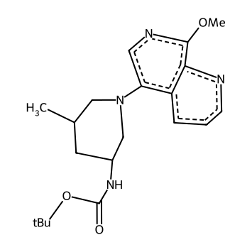 COc1ncc(N2CC(C)CC(NC(=O)OC(C)(C)C)C2)c2cccnc12